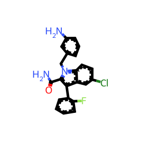 NC(=O)c1c(-c2ccccc2F)c2cc(Cl)ccc2n1Cc1cccc(N)c1